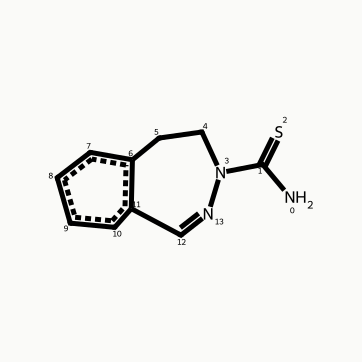 NC(=S)N1CCc2ccccc2C=N1